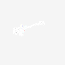 CCCCCCCCOC(=O)NC(C)(C)C